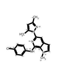 Cc1cc(C)n(-c2cc3ccn(C)c3c(Nc3ccc(Cl)cc3)n2)n1